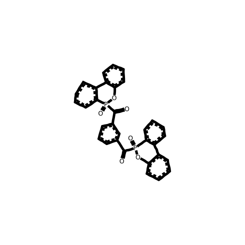 O=C(c1cccc(C(=O)P2(=O)Oc3ccccc3-c3ccccc32)c1)P1(=O)Oc2ccccc2-c2ccccc21